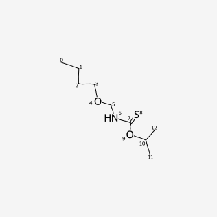 CCCCOCNC(=S)OC(C)C